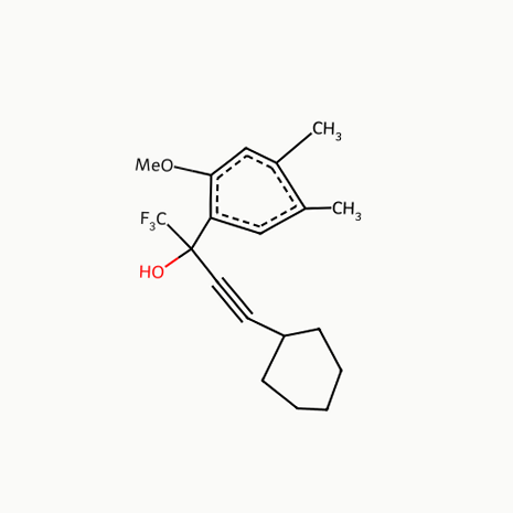 COc1cc(C)c(C)cc1C(O)(C#CC1CCCCC1)C(F)(F)F